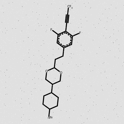 CCCC1CCC(C2COC(CCc3cc(F)c(C#CC(F)(F)F)c(F)c3)OC2)CC1